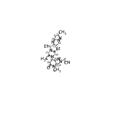 CCC(c1ccn2nc(C)cc2n1)N1C[C@H](C)N(c2cc(=O)n(C)c3cn(CC#N)nc23)C[C@H]1CC